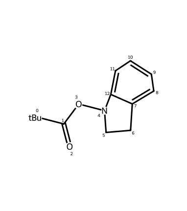 CC(C)(C)C(=O)ON1CCc2ccccc21